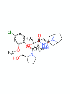 CC(C)(Oc1ccc(Cl)cc1OC(F)(F)F)C(=O)NC1CC2CCC(C1)N2c1ccc(C(=O)N2CCC[C@H]2CO)cn1